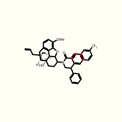 C=CCN1CC[C@]23c4c5ccc(OC)c4OC2C(N(CC(c2ccccc2)c2ccccc2)C(=O)/C=C/c2cccc(C(F)(F)F)c2)CC[C@@]3(O)[C@H]1C5